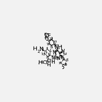 Cl.Cl.N[C@H]1CC[C@H](Nc2nc(Nc3ccc(OC(F)(F)F)cc3)c3ncn(C4CCSC4)c3n2)CC1